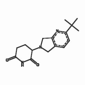 CC(C)(C)c1ccc2c(n1)CN(C1CCC(=O)NC1=O)C2